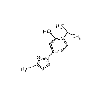 Cc1ncn(-c2ccc(C(C)C)c(O)c2)n1